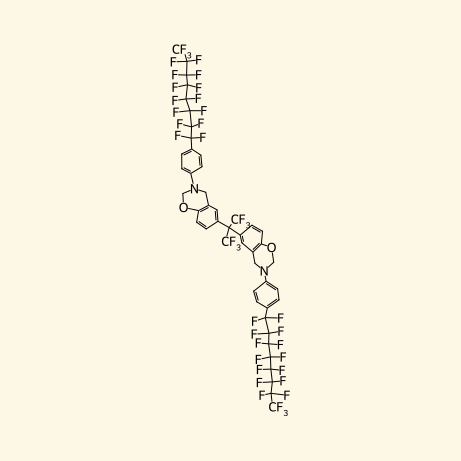 FC(F)(F)C(F)(F)C(F)(F)C(F)(F)C(F)(F)C(F)(F)C(F)(F)C(F)(F)c1ccc(N2COc3ccc(C(c4ccc5c(c4)CN(c4ccc(C(F)(F)C(F)(F)C(F)(F)C(F)(F)C(F)(F)C(F)(F)C(F)(F)C(F)(F)F)cc4)CO5)(C(F)(F)F)C(F)(F)F)cc3C2)cc1